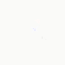 C.C1CCC([N+]23CCOC2C3)CC1